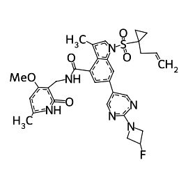 C=CCC1(S(=O)(=O)n2cc(C)c3c(C(=O)NCc4c(OC)cc(C)[nH]c4=O)cc(-c4cnc(N5CC(F)C5)nc4)cc32)CC1